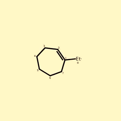 C[CH]C1=CCCCCC1